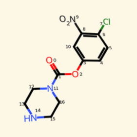 O=C(Oc1ccc(Cl)c([N+](=O)[O-])c1)N1CCNCC1